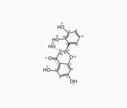 O=C1c2c(O)cc(O)cc2O[C@H](c2cccc(O)c2O)[C@H]1O